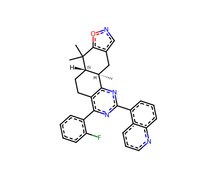 CC1(C)c2oncc2C[C@@]2(C)c3nc(-c4cccc5ncccc45)nc(-c4ccccc4F)c3CC[C@H]12